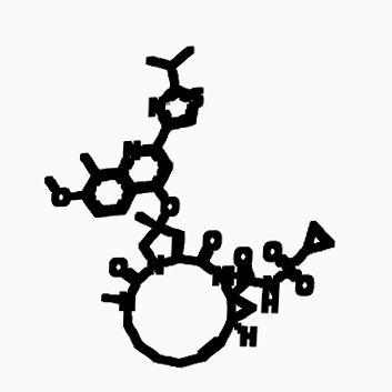 COc1ccc2c(O[C@]3(C)C=C4C(=O)N[C@]5(C(=O)NS(=O)(=O)C6CC6)C[C@H]5/C=C\CCCCN(C)C(=O)N4C3)cc(-c3csc(C(C)C)n3)nc2c1C